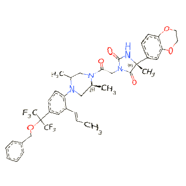 CC=Cc1cc(C(OCc2ccccc2)(C(F)(F)F)C(F)(F)F)ccc1N1C[C@H](C)N(C(=O)CN2C(=O)N[C@](C)(c3ccc4c(c3)OCCO4)C2=O)CC1C